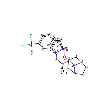 C[C@H](CN1C2CCC1CC(OCC1CC1)C2)Cn1ncc2ccc(C(F)(F)F)cc21